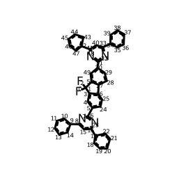 FC1(F)c2cc(-c3nc(-c4ccccc4)cc(-c4ccccc4)n3)ccc2-c2ccc(-c3nc(-c4ccccc4)cc(-c4ccccc4)n3)cc21